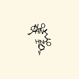 C=C(CCC(C)C(=O)Nc1ccc(F)cc1)NC(=O)c1cc(C2CC2)on1